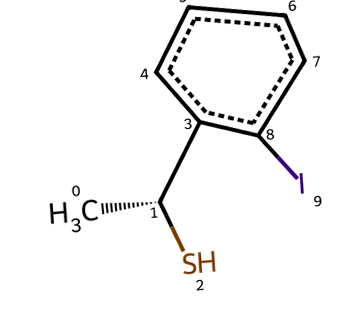 C[C@@H](S)c1ccccc1I